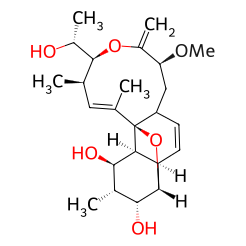 C=C1O[C@H]([C@@H](C)O)[C@H](C)/C=C(\C)[C@@]23O[C@H]4[C@H](O)[C@H](C)[C@@H](O)[C@@H]2[C@H]4C=CC3C[C@@H]1OC